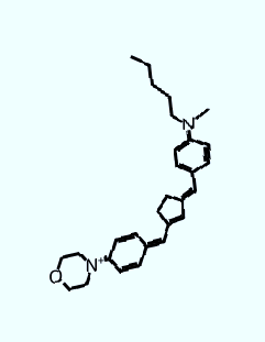 CCCCCN(C)c1ccc(/C=C2/C=C(C=C3C=CC(=[N+]4CCOCC4)C=C3)CC2)cc1